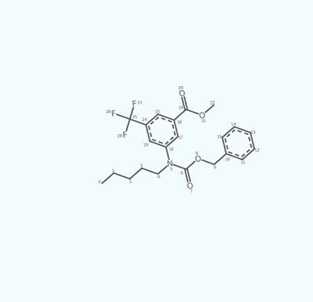 CCCCCN(C(=O)OCc1ccccc1)c1cc(C(=O)OC)cc(C(F)(F)F)c1